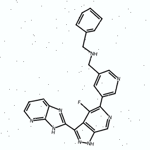 Fc1c(-c2cncc(CNCc3ccccc3)c2)ncc2[nH]nc(-c3nc4cccnc4[nH]3)c12